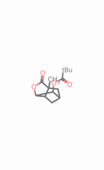 CC(C)(C)C(=O)OC1C2CC3C1OC(=O)C3(C)C2